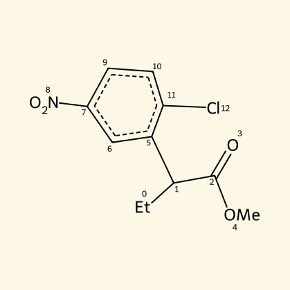 CCC(C(=O)OC)c1cc([N+](=O)[O-])ccc1Cl